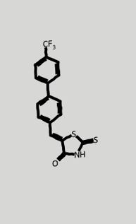 O=C1NC(=S)S/C1=C\c1ccc(-c2ccc(C(F)(F)F)cc2)cc1